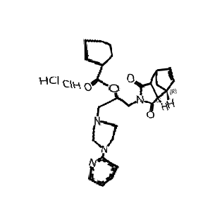 Cl.Cl.O=C(OC(CN1CCN(c2ccccn2)CC1)CN1C(=O)C2C3C=C[C@@H](C3)[C@@H]2C1=O)C1CCCCC1